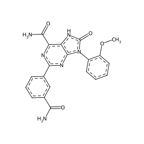 COc1ccccc1-n1c(=O)[nH]c2c(C(N)=O)nc(-c3cccc(C(N)=O)c3)nc21